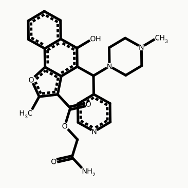 Cc1oc2c(c1C(=O)OCC(N)=O)c(C(c1ccncc1)N1CCN(C)CC1)c(O)c1ccccc12